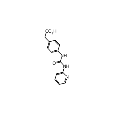 O=C(O)Cc1ccc(NC(=O)Nc2ccccn2)cc1